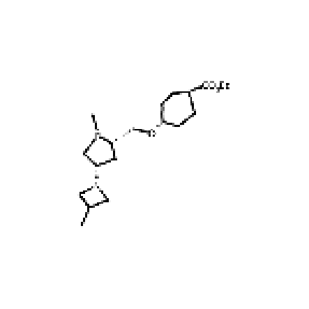 CCOC(=O)[C@H]1CC[C@H](OC[C@@H]2C[C@H](N3CC(C)C3)CN2C)CC1